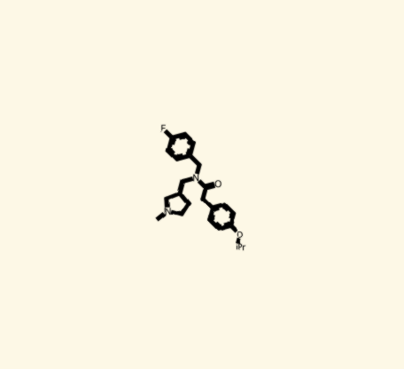 CC(C)Oc1ccc(CC(=O)N(Cc2ccc(F)cc2)CC2CCN(C)C2)cc1